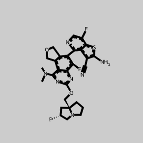 CN(C)c1nc(OC[C@@]23CCCN2C[C@H](F)C3)nc2c(F)c(-c3ncc(F)c4sc(N)c(C#N)c34)c3c(c12)COC3